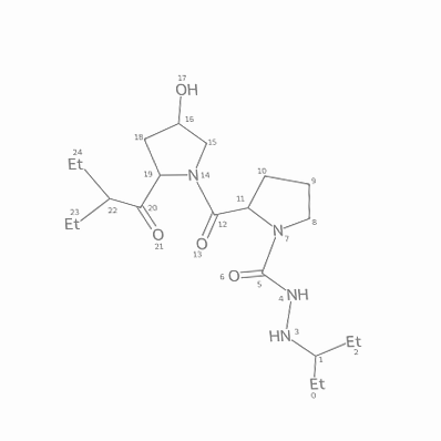 CCC(CC)NNC(=O)N1CCCC1C(=O)N1CC(O)CC1C(=O)C(CC)CC